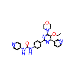 CCOc1c(-c2cccnc2)nc(-c2ccc(NC(=O)Nc3ccncc3)cc2)nc1N1CCOCC1